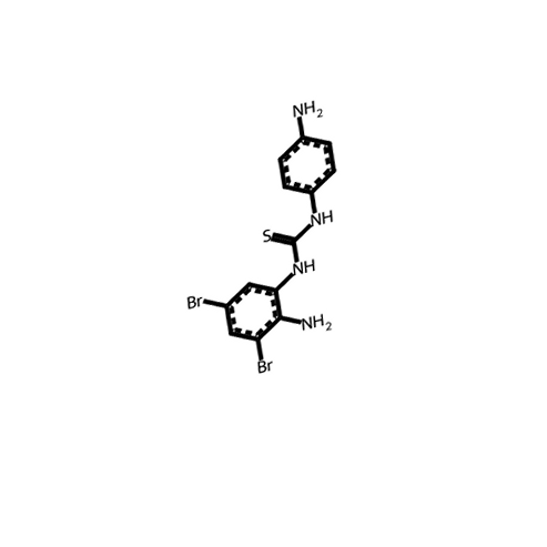 Nc1ccc(NC(=S)Nc2cc(Br)cc(Br)c2N)cc1